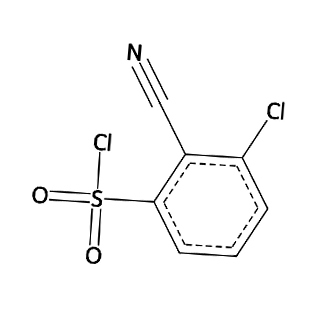 N#Cc1c(Cl)cccc1S(=O)(=O)Cl